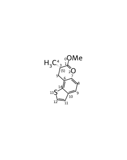 COC(=O)[C@@H](C)Cc1cccc2ccsc12